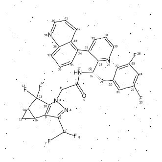 O=C(Cn1nc(C(F)F)c2c1C(F)(F)C1CC21)N[C@@H](Cc1cc(F)cc(F)c1)c1ncccc1-c1cccc2ncccc12